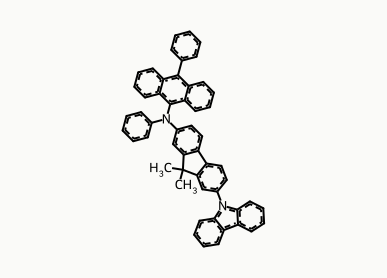 CC1(C)c2cc(N(c3ccccc3)c3c4ccccc4c(-c4ccccc4)c4ccccc34)ccc2-c2ccc(-n3c4ccccc4c4ccccc43)cc21